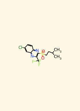 CC(C)CCS(=O)(=O)c1nc2ccc(Cl)cc2nc1C(F)(F)F